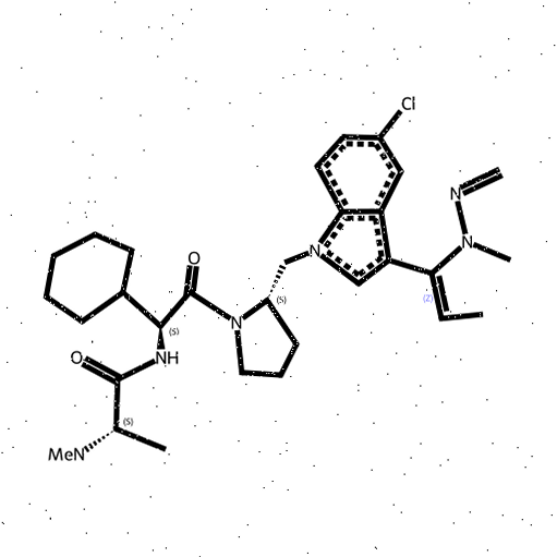 C=NN(C)/C(=C\C)c1cn(C[C@@H]2CCCN2C(=O)[C@@H](NC(=O)[C@H](C)NC)C2CCCCC2)c2ccc(Cl)cc12